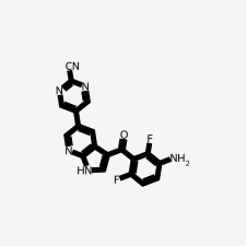 N#Cc1ncc(-c2cnc3[nH]cc(C(=O)c4c(F)ccc(N)c4F)c3c2)cn1